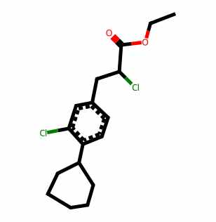 CCOC(=O)C(Cl)Cc1ccc(C2CCCCC2)c(Cl)c1